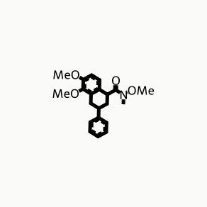 COc1ccc2c(c1OC)CC(c1ccccc1)CC2C(=O)N(C)OC